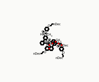 CCCCCCCCCCCCOc1ccc(S(=O)(=O)Nc2cc(-c3ccccc3COCc3ccccc3-c3cc(NS(=O)(=O)c4ccc(OCCCCCCCCCCCC)cc4)c(C)cc3NS(=O)(=O)c3ccc(OCCCCCCCCCCCC)cc3)c(NS(=O)(=O)c3ccc(OCCCCCCCCCCCC)cc3)cc2C)cc1